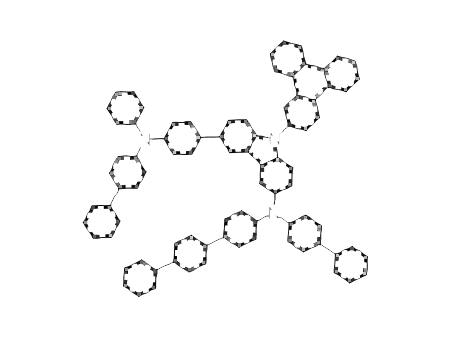 c1ccc(-c2ccc(-c3ccc(N(c4ccc(-c5ccccc5)cc4)c4ccc5c(c4)c4cc(-c6ccc(N(c7ccccc7)c7ccc(-c8ccccc8)cc7)cc6)ccc4n5-c4ccc5c6ccccc6c6ccccc6c5c4)cc3)cc2)cc1